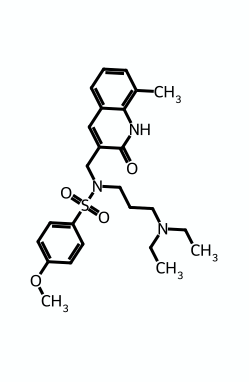 CCN(CC)CCCN(Cc1cc2cccc(C)c2[nH]c1=O)S(=O)(=O)c1ccc(OC)cc1